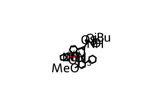 CCC(C)S(=O)(=O)NC(=O)C1=C2Cn3c(cc4c(OC)ccc(C5CCCCC5)c43)[C@@H]3C(=C21)C=CC[C@H]3C(=O)N1C2CCC1CN(C)C2